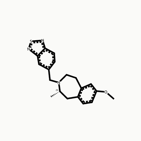 COc1ccc2c(c1)CCN(Cc1ccc3nsnc3c1)[C@@H](C)C2